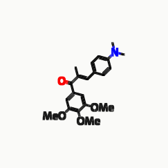 COc1cc(C(=O)C(C)=Cc2ccc(N(C)C)cc2)cc(OC)c1OC